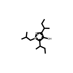 CCC(C)c1nn(CC(C)C)c(C(C)CC)c1O